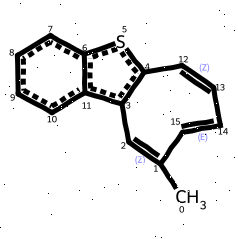 CC1=C\c2c(sc3ccccc23)\C=C/C=C/1